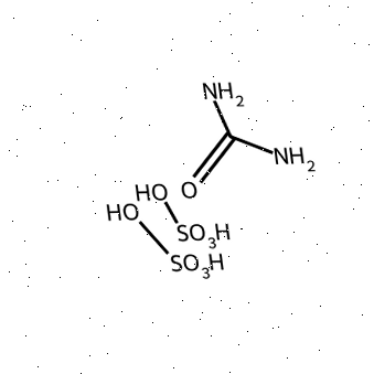 NC(N)=O.O=S(=O)(O)O.O=S(=O)(O)O